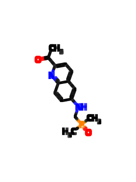 CC(=O)c1ccc2cc(NCP(C)(C)=O)ccc2n1